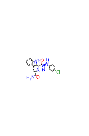 NC(=O)c1cc2c([nH]c3ccccc32)c(C(=O)NNc2ccc(Cl)cc2)n1